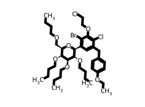 CCCCOC[C@H]1O[C@@H](c2cc(Cc3ccc(OCC)cc3)c(Cl)c(OCCCl)c2Br)[C@H](OCCCC)[C@@H](OCCCC)[C@@H]1OCCCC